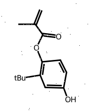 C=C(C)C(=O)Oc1ccc(O)cc1C(C)(C)C